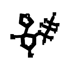 FC(F)(F)C(F)(F)C(F)(F)Sc1cc(Br)[c]c(Br)c1-c1ccoc1